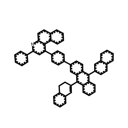 C1=C(c2c3ccccc3c(-c3ccc4ccccc4c3)c3ccc(-c4ccc(-c5cc(-c6ccccc6)nc6ccc7ccccc7c56)cc4)cc23)CCc2ccccc21